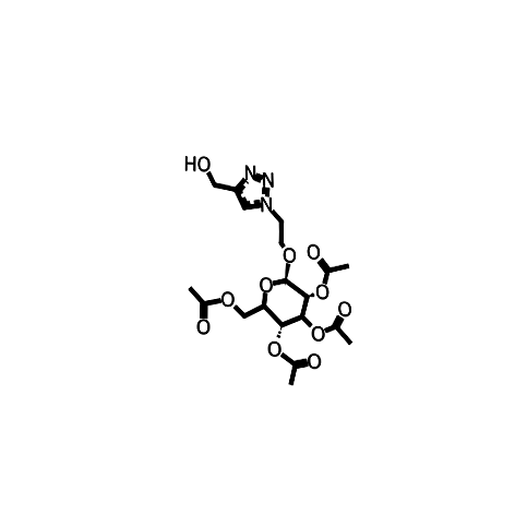 CC(=O)OCC1O[C@@H](OCCn2cc(CO)nn2)[C@H](OC(C)=O)C(OC(C)=O)[C@@H]1OC(C)=O